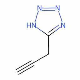 [C]#CCc1nnn[nH]1